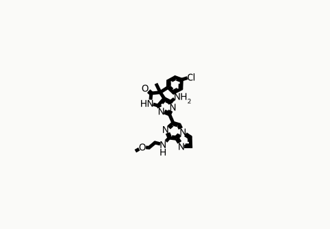 COCCNc1nc(-c2nc(N)c3c(n2)NC(=O)C3(C)c2ccc(Cl)cc2)cn2ccnc12